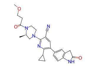 COCCC(=O)N1CCN(c2nc(C3CC3)c(-c3ccc4c(c3)CC(=O)N4)cc2C#N)C[C@H]1C